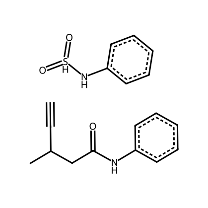 C#CC(C)CC(=O)Nc1ccccc1.O=[SH](=O)Nc1ccccc1